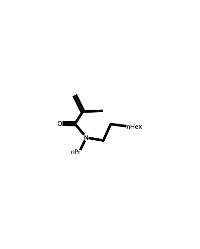 C=C(C)C(=O)N(CCC)CCCCCCCC